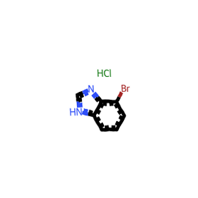 Brc1cccc2[nH]cnc12.Cl